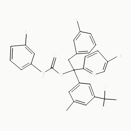 O=C(Nc1cccc(F)c1)NC(Cc1cccc(Cl)c1)(c1cc(F)cc(C(F)(F)F)c1)c1ccc(Cl)cn1